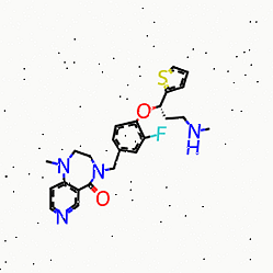 CNCC[C@H](Oc1ccc(CN2CCN(C)c3ccncc3C2=O)cc1F)c1cccs1